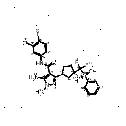 Cn1nc(C2CCC(O)(C(F)(F)S(=O)(=O)c3ccccc3)C2)c(C(=O)Nc2ccc(F)c(Cl)c2)c1N